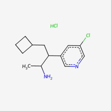 CC(N)C(CC1CCC1)c1cncc(Cl)c1.Cl